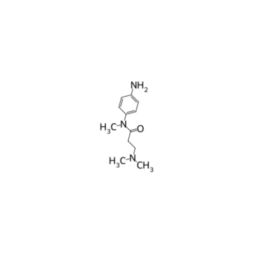 CN(C)CCC(=O)N(C)c1ccc(N)cc1